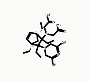 CCC1(N(CC(=O)O)CC(=O)O)C(CC)(N(CC(=O)O)CC(=O)O)[C@@]2(CC)C=C[C@]1(CC)C2